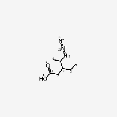 CCC(CC(=O)O)C(C)N=[N+]=[N-]